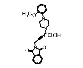 COc1ccccc1N1CCN(CC#CCN2C(=O)c3ccccc3C2=O)CC1.Cl.Cl